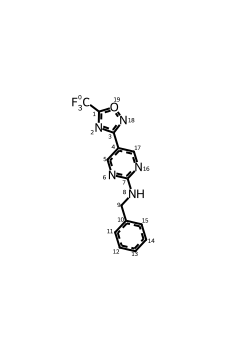 FC(F)(F)c1nc(-c2cnc(NCc3ccccc3)nc2)no1